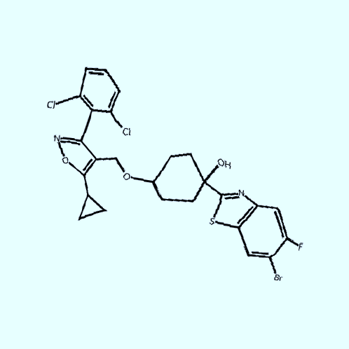 OC1(c2nc3cc(F)c(Br)cc3s2)CCC(OCc2c(-c3c(Cl)cccc3Cl)noc2C2CC2)CC1